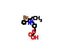 CCc1c(Br)c(-c2ccccc2)nn1CC1CCC(COCC(=O)O)CC1